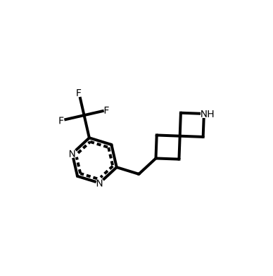 FC(F)(F)c1cc(CC2CC3(CNC3)C2)ncn1